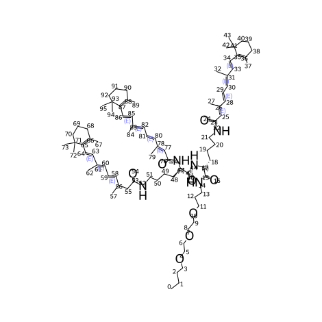 CCCCOCCOCCOCCCNC(=O)[C@@H](CCCCNC(=O)/C=C(C)/C=C/C=C(C)/C=C/C1=C(C)CCCC1(C)C)NC(=O)[C@@H](CCCCNC(=O)CC(C)/C=C/C=C(C)/C=C/C1=C(C)CCCC1(C)C)NC(=O)/C=C(C)/C=C/C=C(C)/C=C/C1=C(C)CCCC1(C)C